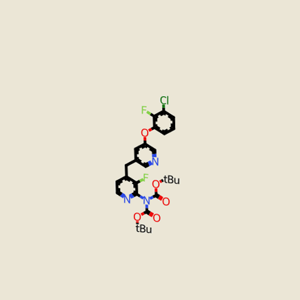 CC(C)(C)OC(=O)N(C(=O)OC(C)(C)C)c1nccc(Cc2cncc(Oc3cccc(Cl)c3F)c2)c1F